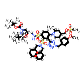 COc1ccc(Cn2nnc(-c3c(N4CCC(COS(C)(=O)=O)CC4C)ccc(S(=O)(=O)NC[C@@H](CNC(=O)OC(C)(C)C)O[Si](C)(C)C(C)(C)C)c3S(=O)(=O)N(Cc3ccccc3)Cc3ccccc3)n2)cc1